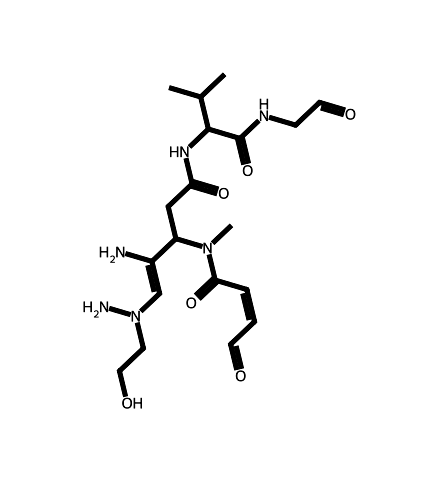 CC(C)C(NC(=O)CC(/C(N)=C/N(N)CCO)N(C)C(=O)/C=C\C=O)C(=O)NCC=O